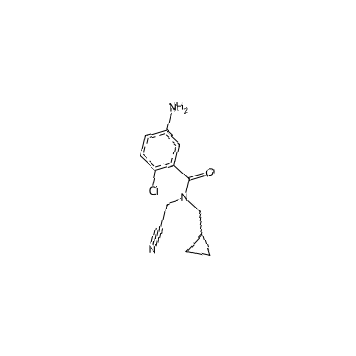 N#CCN(CC1CC1)C(=O)c1cc(N)ccc1Cl